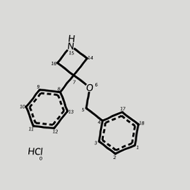 Cl.c1ccc(COC2(c3ccccc3)CNC2)cc1